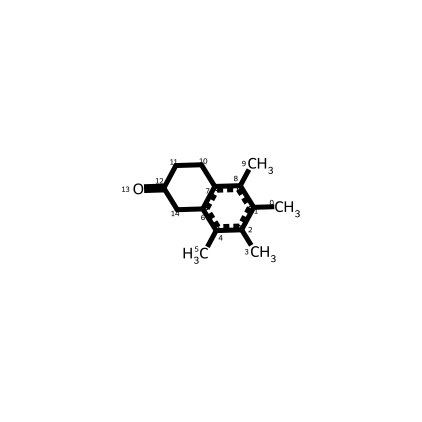 Cc1c(C)c(C)c2c(c1C)CCC(=O)C2